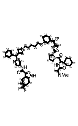 CNC(C)C(=O)NC(C(=O)N1CCC[C@H]1c1nc(C(=O)c2cccc(OCCCCCN3CC(C(c4ccccc4)n4cc(NC(=O)c5n[nH]c6c5C[C@@H]5C(F)(F)[C@]5(C)C6)cn4)C3)c2)cs1)C1CCCCC1